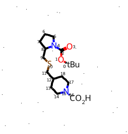 CC(C)(C)OC(=O)N1CCCC1CSCC1CCN(C(=O)O)CC1